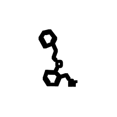 BrCc1ccccc1OCCc1ccccc1